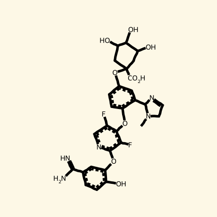 CN1CC=NC1c1cc(OC2(C(=O)O)CC(O)C(O)C(O)C2)ccc1Oc1c(F)cnc(Oc2cc(C(=N)N)ccc2O)c1F